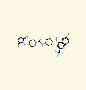 O=C1C=CC(=O)N1C[C@H]1CC[C@H](C(=O)N[C@H]2CC[C@@H](Nc3cc(C(F)(F)F)nc4ccc(Cl)cc34)CC2)CC1